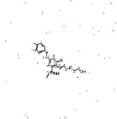 Cc1ccc(CNc2nc(C(=N)CF)c(NCCOCCO)c(=O)[nH]2)cc1C